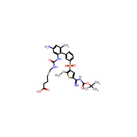 CSc1sc(C(=N)NC(=O)OC(C)(C)C)cc1S(=O)(=O)c1cccc(-c2c(C)cc(N)cc2NC(=O)NCCCCCC(=O)O)c1